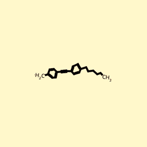 [CH2]c1ccc(C#Cc2ccc(CCCCCC)cc2)cc1